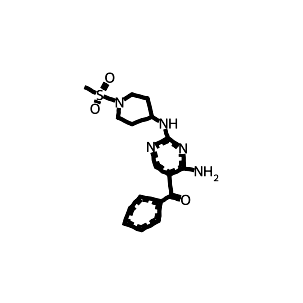 CS(=O)(=O)N1CCC(Nc2ncc(C(=O)c3ccccc3)c(N)n2)CC1